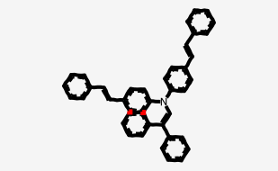 C(=Cc1ccc(N(C=C(c2ccccc2)c2ccccc2)c2ccc(C=Cc3ccccc3)cc2)cc1)c1ccccc1